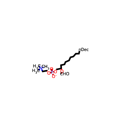 CCCCCCCCCCCCCCCCCCC(COP(=O)([O-])OCC[N+](C)(C)C)OC=O